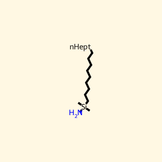 CCCCCCCCCCCCCCCC[Si](C)(C)N